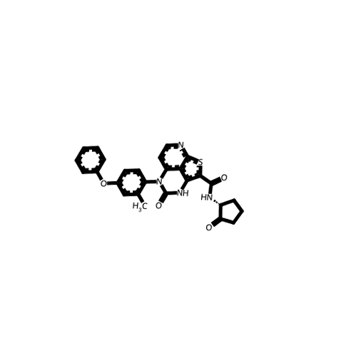 Cc1cc(Oc2ccccc2)ccc1N1C(=O)Nc2c(C(=O)N[C@@H]3CCCC3=O)sc3nccc1c23